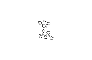 N#Cc1ccccc1-c1nc(-c2ccccc2)cc(-c2ccc(-n3c4ncccc4c4ccc5c(c6ccccc6n5-c5ccccc5)c43)cc2)n1